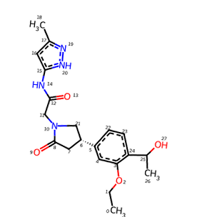 CCOc1cc([C@@H]2CC(=O)N(CC(=O)Nc3cc(C)n[nH]3)C2)ccc1C(C)O